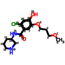 COCCCOc1cc(C(=O)N[C@@H]2CCCNC2)c(Cl)cc1O